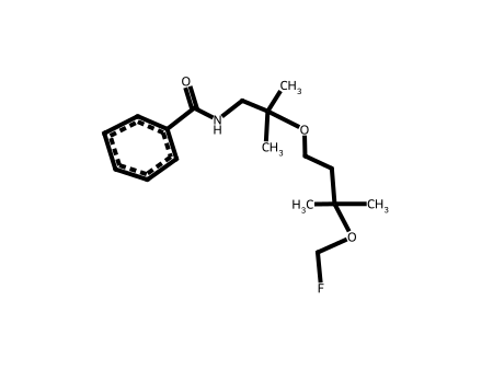 CC(C)(CCOC(C)(C)CNC(=O)c1ccccc1)OCF